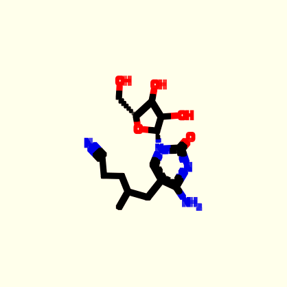 CC(CCC#N)Cc1cn([C@@H]2O[C@H](CO)C(O)C2O)c(=O)nc1N